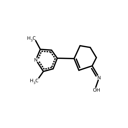 Cc1cc(C2=CC(=NO)CCC2)cc(C)n1